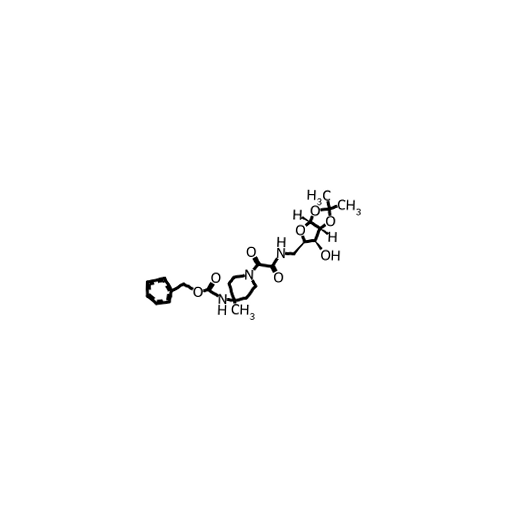 CC1(NC(=O)OCc2ccccc2)CCN(C(=O)C(=O)NC[C@H]2O[C@@H]3OC(C)(C)O[C@@H]3[C@H]2O)CC1